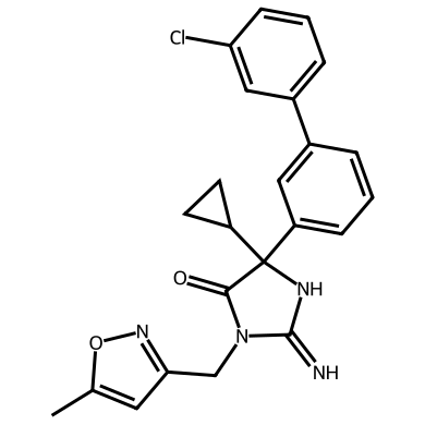 Cc1cc(CN2C(=N)NC(c3cccc(-c4cccc(Cl)c4)c3)(C3CC3)C2=O)no1